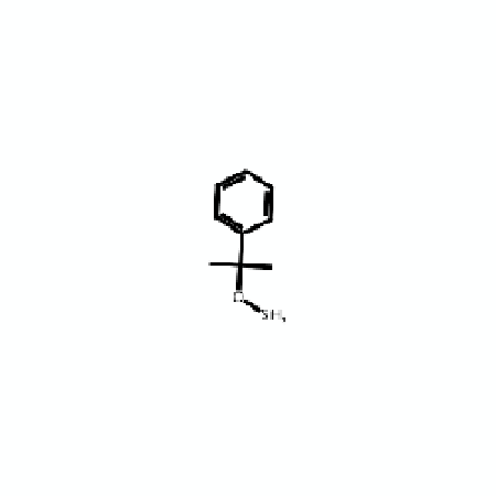 CC(C)(O[SiH3])c1ccccc1